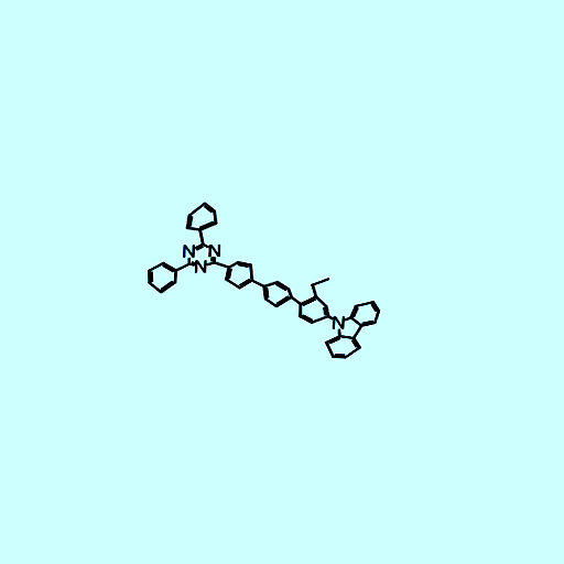 CCc1cc(-n2c3ccccc3c3ccccc32)ccc1-c1ccc(-c2ccc(-c3nc(-c4ccccc4)nc(-c4ccccc4)n3)cc2)cc1